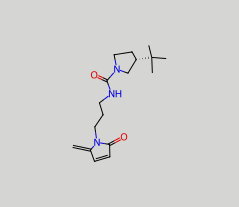 C=C1C=CC(=O)N1CCCNC(=O)N1CC[C@H](C(C)(C)C)C1